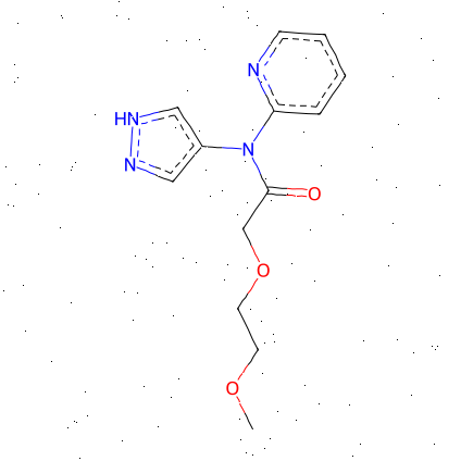 COCCOCC(=O)N(c1cn[nH]c1)c1ccccn1